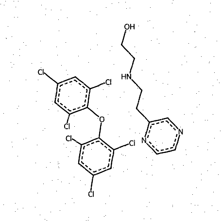 Clc1cc(Cl)c(Oc2c(Cl)cc(Cl)cc2Cl)c(Cl)c1.OCCNCCc1cnccn1